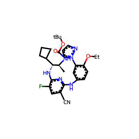 CCOc1ccc(Nc2nc(N[C@H](C3CCC3)[C@H](C)NC(=O)OC(C)(C)C)c(F)cc2C#N)cc1-n1cccn1